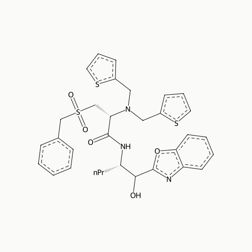 CCC[C@H](NC(=O)[C@H](CS(=O)(=O)Cc1ccccc1)N(Cc1cccs1)Cc1cccs1)C(O)c1nc2ccccc2o1